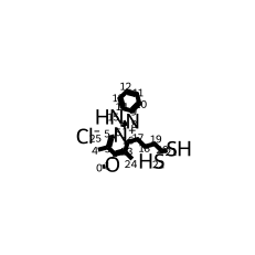 COc1c(C)c[n+](-c2nc3ccccc3[nH]2)c(CCCC(S)S)c1C.[Cl-]